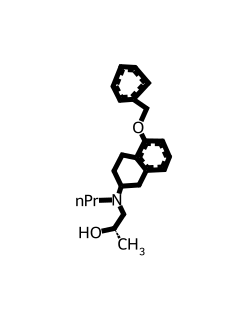 CCCN(C[C@H](C)O)C1CCc2c(cccc2OCc2ccccc2)C1